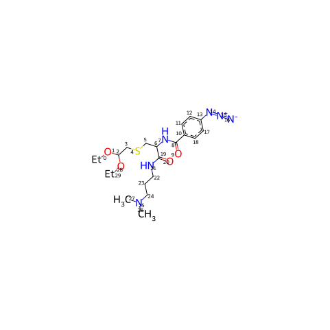 CCOC(CSCC(NC(=O)c1ccc(N=[N+]=[N-])cc1)C(=O)NCCCN(C)C)OCC